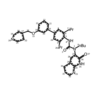 CCCCN(C(=O)Nc1c(C(C)C)cc(-c2cccc(OCc3ccncc3)c2)cc1C(C)C)c1cc2cccnc2[nH]c1=O